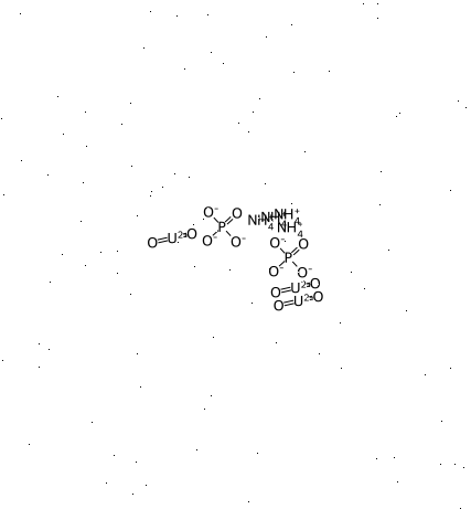 O=P([O-])([O-])[O-].O=P([O-])([O-])[O-].[NH4+].[NH4+].[NH4+].[NH4+].[O]=[U+2]=[O].[O]=[U+2]=[O].[O]=[U-2]=[O]